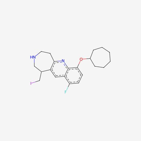 Fc1ccc(OC2CCCCCC2)c2nc3c(cc12)C(CI)CNCC3